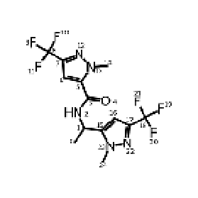 CC(NC(=O)c1cc(C(F)(F)F)nn1C)c1cc(C(F)(F)F)nn1C